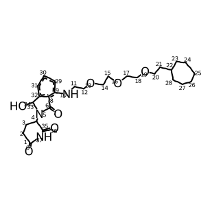 O=C1CCC(N2C(=O)c3c(NCCOCCOCCOCCC4CCCCCC4)cccc3C2O)C(=O)N1